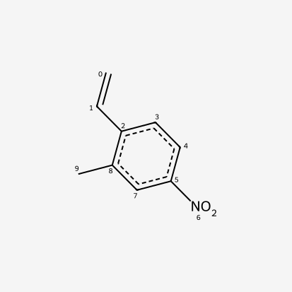 C=Cc1ccc([N+](=O)[O-])cc1C